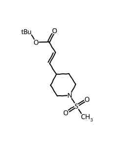 CC(C)(C)OC(=O)C=CC1CCN(S(C)(=O)=O)CC1